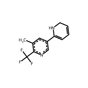 Cc1cc(C2=CC=CCN2)cnc1C(F)(F)F